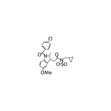 COc1ccc2c(c1)C(CC(=O)N(CC1CC1)S(C)(=O)=O)C(C)N2C(=O)c1ccc(Cl)cc1